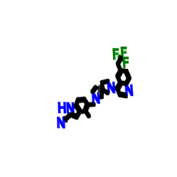 Cc1c(CN2CC[C@@]3(CCN(c4ccnc5ccc(CC(F)(F)F)cc45)C3)C2)ccc2[nH]c(C#N)cc12